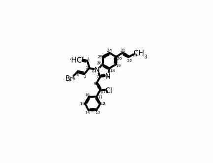 [CH]=CC(C=CBr)n1c(C=C(Cl)c2ccccc2)nc2cc(C=CC)ccc21